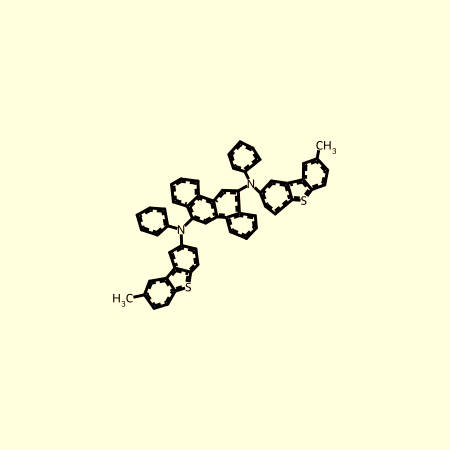 Cc1ccc2sc3ccc(N(c4ccccc4)c4cc5c6ccccc6c(N(c6ccccc6)c6ccc7sc8ccc(C)cc8c7c6)cc5c5ccccc45)cc3c2c1